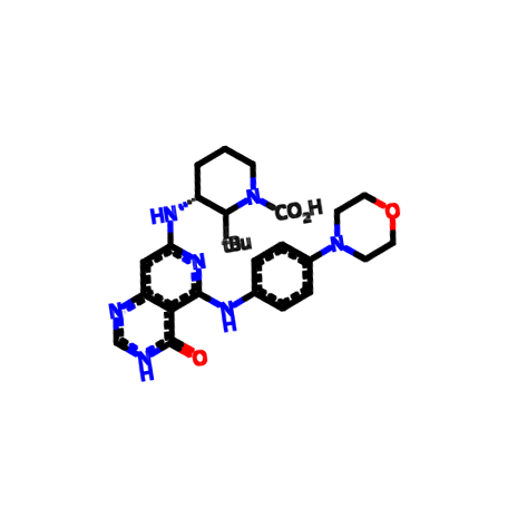 CC(C)(C)C1[C@H](Nc2cc3nc[nH]c(=O)c3c(Nc3ccc(N4CCOCC4)cc3)n2)CCCN1C(=O)O